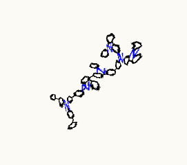 c1ccc(-c2ccc(N(c3ccc(-c4ccccc4)cc3)c3ccc(-c4ccc(-n5c6ccccc6c6c(-c7ccc8c9ccc(-c%10ccc(N(c%11ccc%12c%13ccccc%13n(-c%13ccccc%13)c%12c%11)c%11ccc%12c%13ccccc%13n(-c%13ccccc%13)c%12c%11)cc%10)cc9n(-c9ccccc9)c8c7)cccc65)cc4)cc3)cc2)cc1